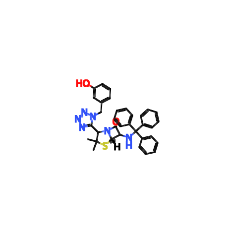 CC1(C)S[C@H]2C(NC(c3ccccc3)(c3ccccc3)c3ccccc3)C(=O)N2C1c1nnnn1Cc1cccc(O)c1